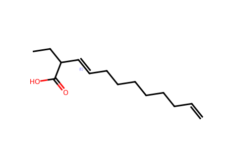 C=CCCCCCC/C=C/C(CC)C(=O)O